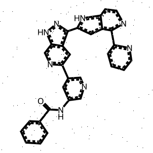 O=C(Nc1cncc(-c2cc3c(-c4cc5c(-c6ccccn6)nccc5[nH]4)n[nH]c3cn2)c1)c1ccccc1